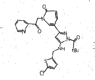 CC(C)(C)C(=O)n1nc(-c2ccc(=O)n(CC(=O)c3ccccn3)c2)cc1NCc1ccc(Cl)s1